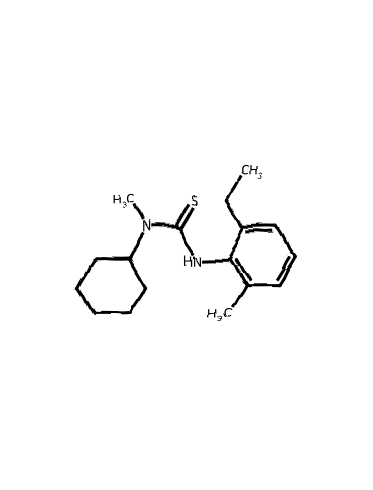 CCc1cccc(C)c1NC(=S)N(C)C1CCCCC1